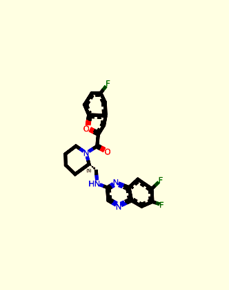 O=C(c1cc2cc(F)ccc2o1)N1CCCC[C@H]1CNc1cnc2cc(F)c(F)cc2n1